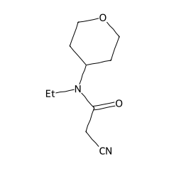 CCN(C(=O)CC#N)C1CCOCC1